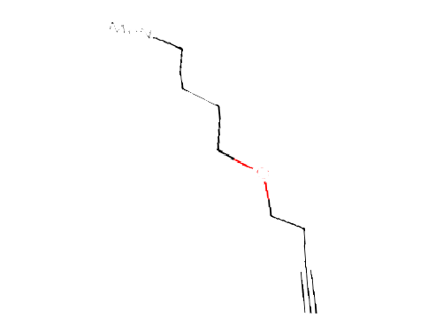 C#CCCOCCCCNC